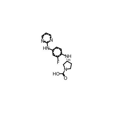 O=C(O)N1CC[C@@H](Nc2ccc(Nc3ncccn3)cc2F)C1